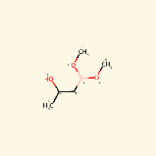 COB(CC(C)O)OC